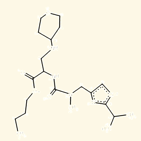 CCCCOC(=O)C(CNC1CCOCC1)NC(=O)N(C)Cc1csc(C(C)C)n1